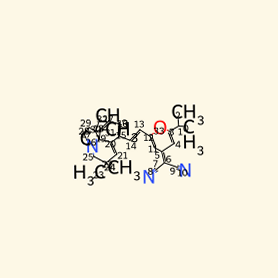 CC(C)C1=CC(=C(C#N)C#N)C=C(/C=C/C2=CC=CC34C2=CC(C)(C)CN3CCCC4(C)C)O1